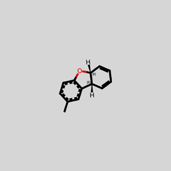 Cc1ccc2c(c1)[C@H]1C=CC=C[C@H]1O2